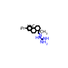 CC(C)c1ccc2c(c1)CCC1[C@@](C)(C=NNC(=N)N)CCC[C@]21C